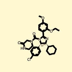 CCOc1cc(OC)ccc1C1=N[C@H](C2CCCCC2)[C@H](c2ccc(Cl)cc2)N1C(=O)N1CCNC(=O)C1